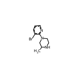 CC1CN(c2ncccc2Br)CCN1